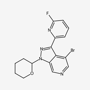 Fc1cccc(-c2nn(C3CCCCO3)c3cncc(Br)c23)n1